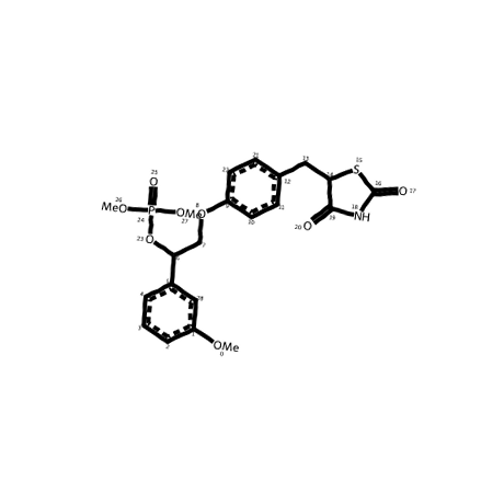 COc1cccc(C(COc2ccc(CC3SC(=O)NC3=O)cc2)OP(=O)(OC)OC)c1